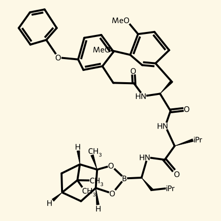 COc1ccc(C[C@H](NC(=O)Cc2cccc(Oc3ccccc3)c2)C(=O)N[C@H](C(=O)N[C@@H](CC(C)C)B2O[C@@H]3C[C@@H]4C[C@@H](C4(C)C)[C@]3(C)O2)C(C)C)cc1OC